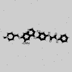 COc1cc2c(Oc3ccc(NC(=O)C(=O)Nc4ccccc4)cc3F)ccnc2cc1OCC1CCN(C)CC1